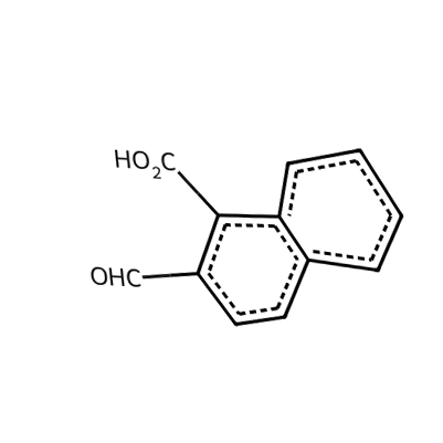 O=Cc1ccc2ccccc2c1C(=O)O